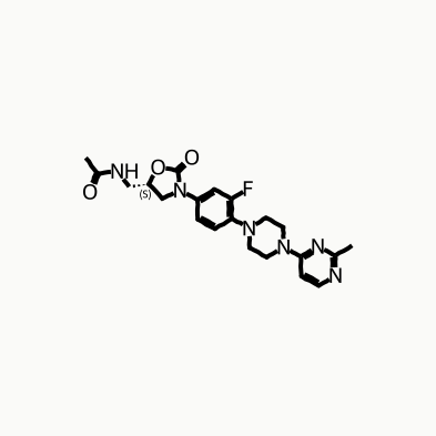 CC(=O)NC[C@H]1CN(c2ccc(N3CCN(c4ccnc(C)n4)CC3)c(F)c2)C(=O)O1